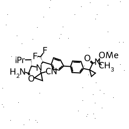 CON(C)C(=O)C1(c2ccc(-c3ccc([C@@H](C(F)F)N([C@@H](CC(C)C)C(N)=O)C4(C#N)CC4)cc3)cc2)CC1